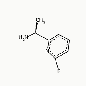 C[C@H](N)c1cccc(F)n1